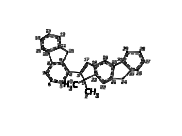 CC1(C)C(c2cccc3c2Cc2ccccc2-3)=Cc2cc3c(cc21)Cc1ccccc1-3